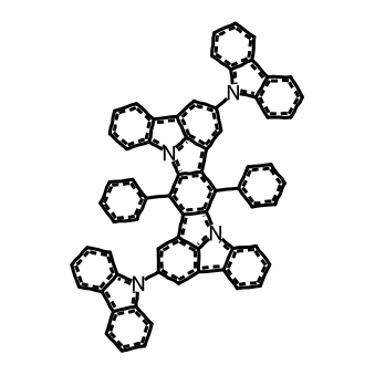 c1ccc(-c2c3c4cc(-n5c6ccccc6c6ccccc65)cc5c6ccccc6n(c3c(-c3ccccc3)c3c6cc(-n7c8ccccc8c8ccccc87)cc7c8ccccc8n(c23)c76)c54)cc1